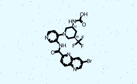 O=C(O)N[C@H]1C[C@@H](C(F)(F)F)CN(c2ccncc2NC(=O)c2ccc3ncc(Br)cc3n2)C1